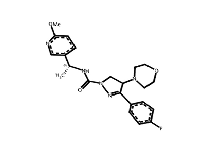 COc1ccc([C@@H](C)NC(=O)N2CC(N3CCOCC3)C(c3ccc(F)cc3)=N2)cn1